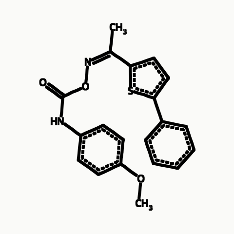 COc1ccc(NC(=O)ON=C(C)c2ccc(-c3ccccc3)s2)cc1